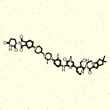 C[C@H]1CN(C2CCN(c3ccc4c(c3)C(=O)N([C@H]3CCC(=O)NC3=O)C4=O)CC2)CCN1c1ccc(Nc2nc(-c3ccnc(N4CCn5c(cc6c5CC(C)(C)C6)C4=O)c3CO)cn(C)c2=O)cc1F